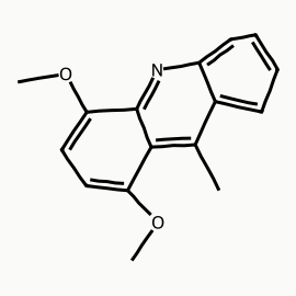 COc1ccc(OC)c2c(C)c3ccccc3nc12